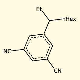 CCCCCCC(CC)c1cc(C#N)cc(C#N)c1